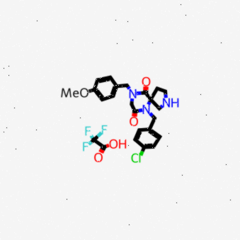 COc1ccc(CN2CC(=O)N(Cc3ccc(Cl)cc3)C3(CCNC3)C2=O)cc1.O=C(O)C(F)(F)F